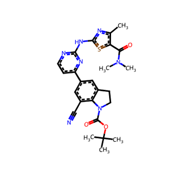 Cc1nc(Nc2nccc(-c3cc(C#N)c4c(c3)CCN4C(=O)OC(C)(C)C)n2)sc1C(=O)N(C)C